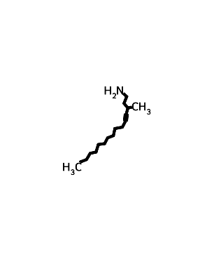 CCCCCCCCCCCC#CC(C)CCN